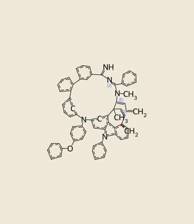 C=C/C=C\C1(C)/C(=C\C=C)N(C)/C(c2ccccc2)=N\C(=N)c2cccc(c2)-c2ccccc2-c2cccc(c2)N(c2ccc(Oc3ccccc3)cc2)c2cc1c1c3ccccc3n(-c3ccccc3)c1c2